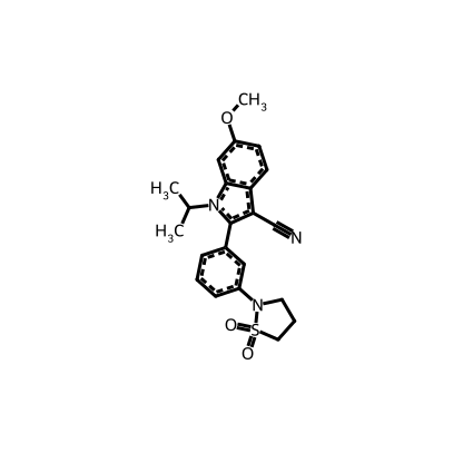 COc1ccc2c(C#N)c(-c3cccc(N4CCCS4(=O)=O)c3)n(C(C)C)c2c1